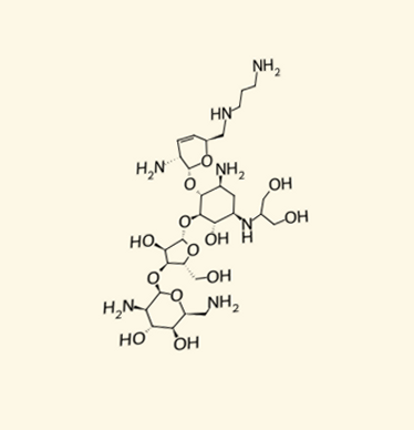 NCCCNC[C@@H]1C=C[C@@H](N)[C@@H](O[C@H]2[C@H](O[C@@H]3O[C@H](CO)[C@@H](O[C@H]4O[C@@H](CN)[C@@H](O)[C@H](O)[C@H]4N)[C@H]3O)[C@@H](O)[C@H](NC(CO)CO)C[C@@H]2N)O1